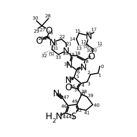 CCCCc1c(-c2nc(O[C@@H](C)[C@@H]3CCCN3C)cc(N3CCN(C(=O)OC(C)(C)C)[C@@H](C)C3)n2)noc1[C@H]1CCCc2sc(N)c(C#N)c21